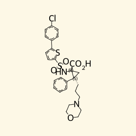 O=C(O)[C@@]1(NS(=O)(=O)c2ccc(-c3ccc(Cl)cc3)s2)C[C@@]1(CCCN1CCOCC1)c1ccccc1